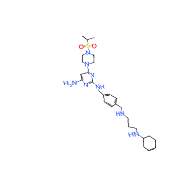 CC(C)S(=O)(=O)N1CCN(c2cc(N)nc(NCc3ccc(CNCCCNC4CCCCC4)cc3)n2)CC1